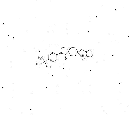 CC(C)(C)c1ccc(N2CC[C@]3(CC[C@@](O)(CN4CCCC4=O)CC3)C2=O)cc1